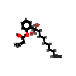 C=CC(=O)Oc1ccccc1C(Br)(Br)CCCCCCCCCCCCCCCCC